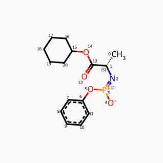 C[C@H](/N=[P+](/[O-])Oc1ccccc1)C(=O)OC1CCCCC1